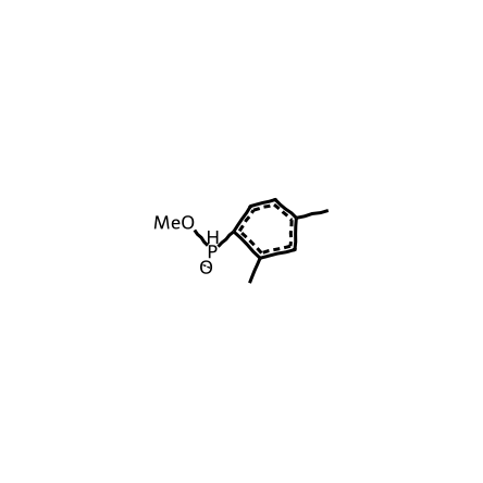 CO[PH](=O)c1ccc(C)cc1C